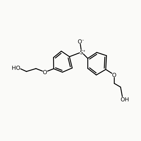 [O-][S+](c1ccc(OCCO)cc1)c1ccc(OCCO)cc1